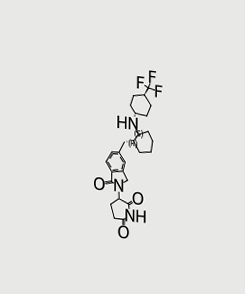 O=C1CCC(N2Cc3cc(C[C@H]4CCCC[C@@H]4N[C@H]4CC[C@H](C(F)(F)F)CC4)ccc3C2=O)C(=O)N1